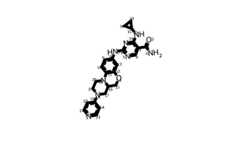 NC(=O)c1cnc(Nc2ccc3c(c2)OCC2CN(c4ccncc4)CCN32)nc1NC1CC1